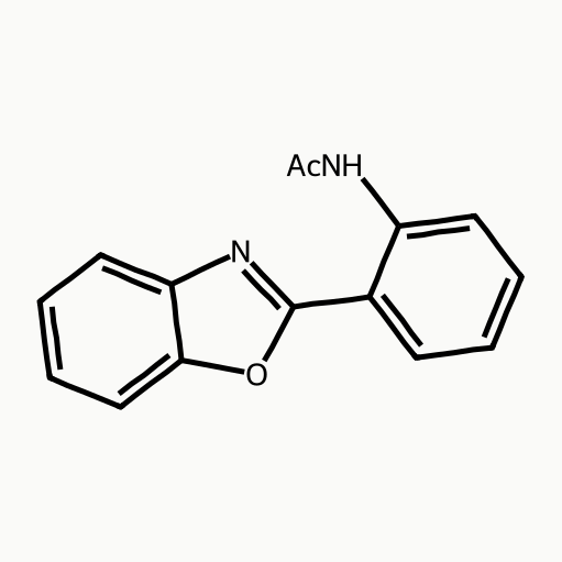 CC(=O)Nc1ccccc1-c1nc2ccccc2o1